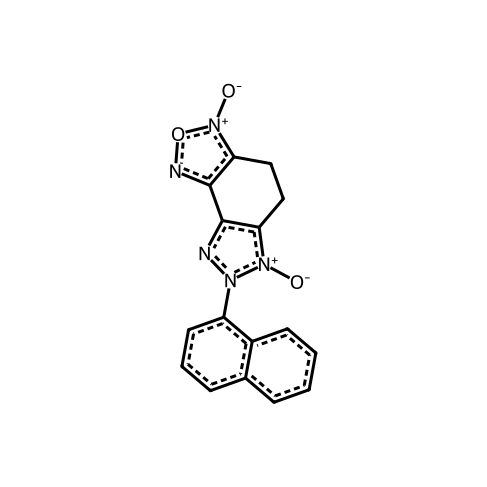 [O-][n+]1onc2c1CCc1c-2nn(-c2cccc3ccccc23)[n+]1[O-]